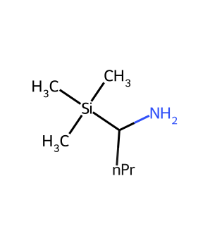 CCCC(N)[Si](C)(C)C